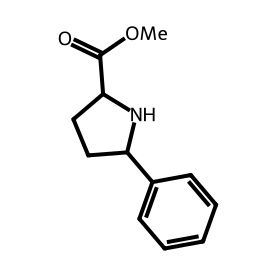 COC(=O)C1CCC(c2ccccc2)N1